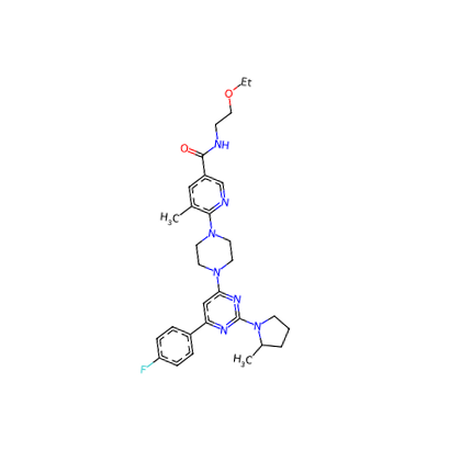 CCOCCNC(=O)c1cnc(N2CCN(c3cc(-c4ccc(F)cc4)nc(N4CCCC4C)n3)CC2)c(C)c1